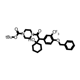 CC(C)(C)OC(=O)N1CCN(C(=O)C(c2ccc(OCc3ccccc3)c(C(F)(F)F)c2)C2(O)CCCCC2)CC1